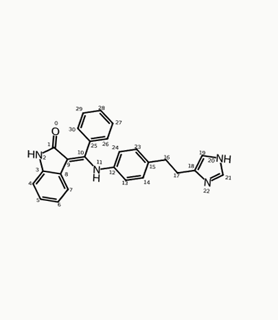 O=C1Nc2ccccc2C1=C(Nc1ccc(CCc2c[nH]cn2)cc1)c1ccccc1